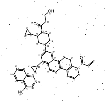 C=CC(=O)[C@@H]1CC=CC2=C1CCc1c2ccc2c(C3CC3)cc(N3CCN(C(=O)CCO)C(C4CC4)C3)cc12.N#Cc1cncc2cnccc12